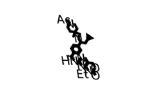 CCN1C(=O)OCc2cnc(N[C@@H](C)c3ccc(C(CC4CC4)N4CC5(CCN(C(C)=O)CC5)C4)cc3)nc21